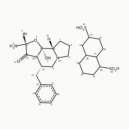 CC(C)[C@@]1(N)O[C@@]2(O)[C@@H]3CCCN3C[C@H](Cc3ccccc3)N2C1=O.O=S(=O)(O)C1CCC2C(CCCC2S(=O)(=O)O)C1